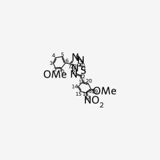 COc1ccccc1-c1nnc2sc(-c3ccc([N+](=O)[O-])c(OC)c3)nn12